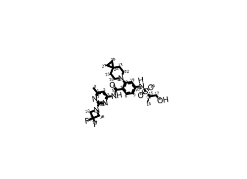 Cc1cc(NC(=O)c2ccc(NS(=O)(=O)[C@H](C)CO)cc2N2CCC3(CC2)CC3)nc(N2CC(F)(F)C2)n1